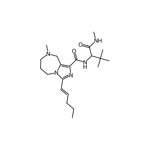 CCCC=Cc1nc(C(=O)NC(C(=O)NC)C(C)(C)C)c2n1CCCN(C)C2